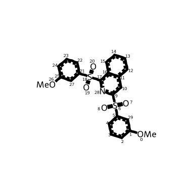 COc1cccc(S(=O)(=O)c2cc3ccccc3c(S(=O)(=O)c3cccc(OC)c3)n2)c1